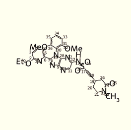 CCOc1cccc(-c2nc3ncc(NS(=O)(=O)C#C[C@@H]4CCN(C)C(=O)C4)nc3n2-c2c(OC)cccc2OC)n1